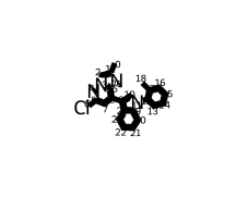 Cc1cn2nc(Cl)cc(-c3cn(-c4ccccc4C)c4ccccc34)c2n1